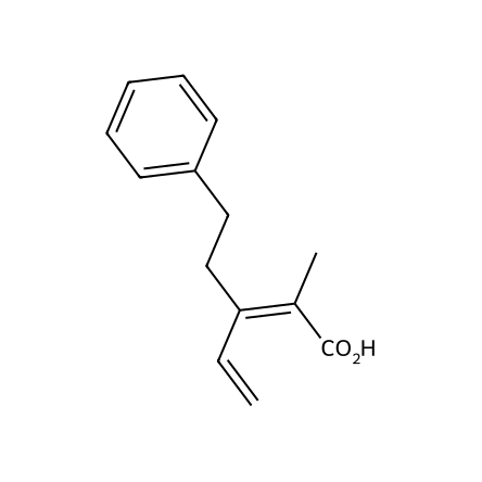 C=CC(CCc1ccccc1)=C(C)C(=O)O